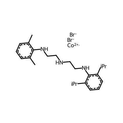 Cc1cccc(C)c1NCCNCCNc1c(C(C)C)cccc1C(C)C.[Br-].[Br-].[Co+2]